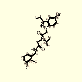 CCc1nn(CC(=O)N(CC(=O)NCc2cccc(Cl)c2F)C(C)C)c2ccc(Br)cc12